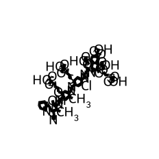 Cc1cc(N=Nc2c(C)c(C#N)c3nc4c(n3c2O)C=CCC4)c(OCCCS(=O)(=O)O)cc1N=Nc1cc(Cl)c(N=Nc2nc3c(OCCCS(=O)(=O)O)c(S(=O)(=O)O)c4cc(S(=O)(=O)O)cc(S(=O)(=O)O)c4c3s2)cc1SCCCS(=O)(=O)O